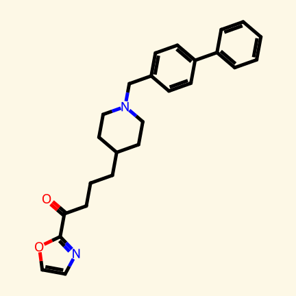 O=C(CCCC1CCN(Cc2ccc(-c3ccccc3)cc2)CC1)c1ncco1